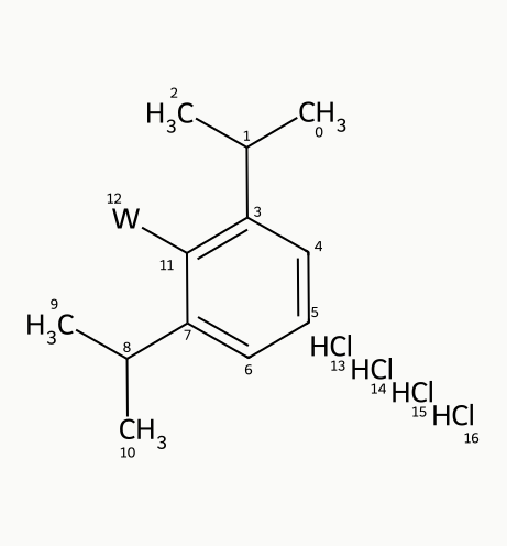 CC(C)c1cccc(C(C)C)[c]1[W].Cl.Cl.Cl.Cl